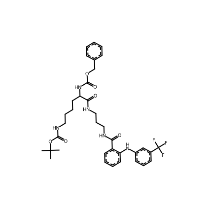 CC(C)(C)OC(=O)NCCCCC(NC(=O)OCc1ccccc1)C(=O)NCCCNC(=O)c1ccccc1Nc1cccc(C(F)(F)F)c1